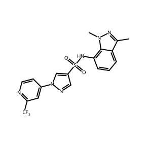 Cc1nn(C)c2c(NS(=O)(=O)c3cnn(-c4ccnc(C(F)(F)F)c4)c3)cccc12